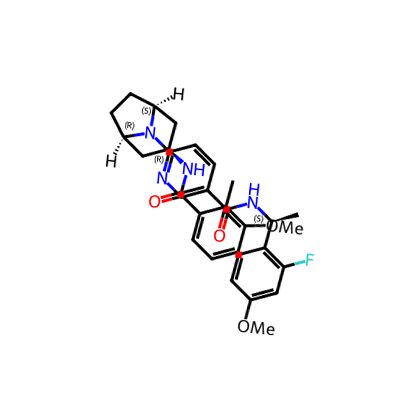 COc1ccc([C@H](C)NC(=O)c2ccc(N3[C@@H]4CC[C@H]3C[C@@H](NC(=O)c3cccc(OC)c3C)C4)nc2)c(F)c1